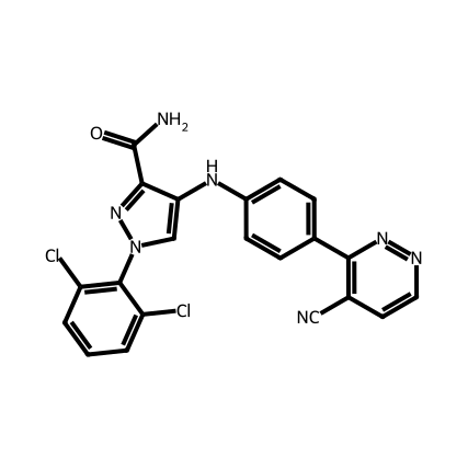 N#Cc1ccnnc1-c1ccc(Nc2cn(-c3c(Cl)cccc3Cl)nc2C(N)=O)cc1